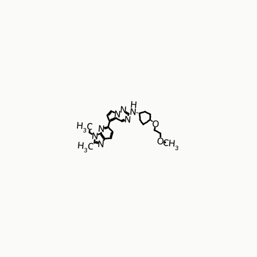 CCn1c(C)nc2ccc(-c3ccn4nc(N[C@H]5CC[C@H](OCCOC)CC5)ncc34)nc21